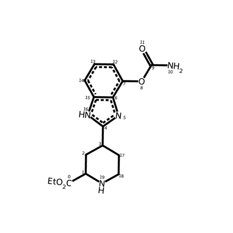 CCOC(=O)C1CC(c2nc3c(OC(N)=O)cccc3[nH]2)CCN1